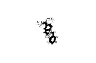 CC(N)c1ccc2c(c1)cc(C(F)(F)F)n2Cc1ccccc1